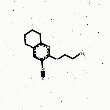 [C-]#[N+]c1cc2c(nc1SCCC)CCCC2